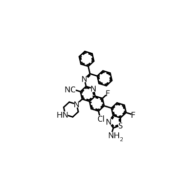 N#Cc1c(N=C(c2ccccc2)c2ccccc2)nc2c(F)c(-c3ccc(F)c4sc(N)nc34)c(Cl)cc2c1N1CCNCC1